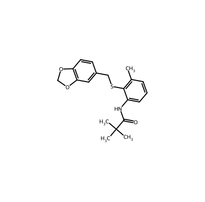 Cc1cccc(NC(=O)C(C)(C)C)c1SCc1ccc2c(c1)OCO2